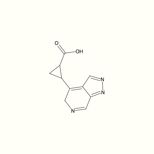 O=C(O)C1CC1C1=C2C=NN=C2C=NC1